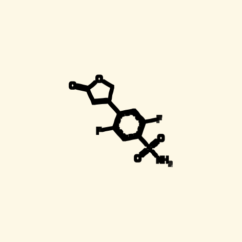 NS(=O)(=O)c1cc(F)c(C2=CC(=O)OC2)cc1F